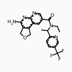 CCN(C(=O)c1cnc2nc(N)c3c(c2c1)COC3)C(C)c1ccc(C(F)(F)F)cn1